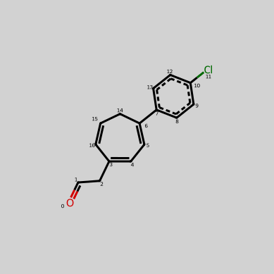 O=CCC1=CC=C(c2ccc(Cl)cc2)CC=C1